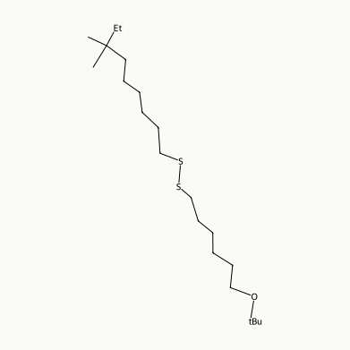 CCC(C)(C)CCCCCCSSCCCCCCOC(C)(C)C